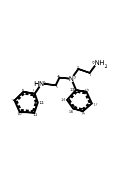 NCCN(CCNc1ccccc1)c1ccccc1